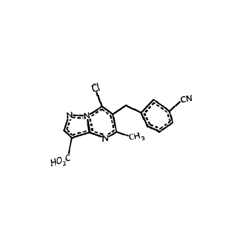 Cc1nc2c(C(=O)O)cnn2c(Cl)c1Cc1cccc(C#N)c1